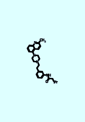 Cc1ccc2c(N3CCN(CCc4cccc(NC(=O)CC(C)C)c4)CC3)cccc2n1